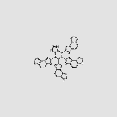 c1cc2c(ccc3sc(-c4c(-c5cc6c(ccc7sccc76)s5)c(-c5cc6c(ccc7sccc76)s5)c5nsnc5c4-c4cc5c(ccc6sccc65)s4)cc32)s1